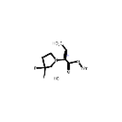 CCCOC(=O)/C(=C/C(=O)O)N1CCC(F)(F)C1.Cl